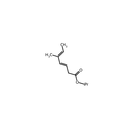 CC=C(C)C=CCC(=O)OC(C)C